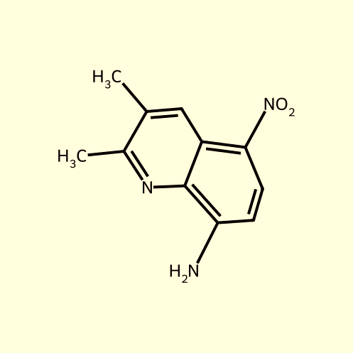 Cc1cc2c([N+](=O)[O-])ccc(N)c2nc1C